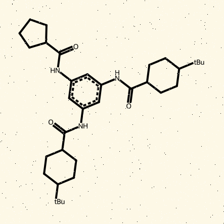 CC(C)(C)C1CCC(C(=O)Nc2cc(NC(=O)C3CCCC3)cc(NC(=O)C3CCC(C(C)(C)C)CC3)c2)CC1